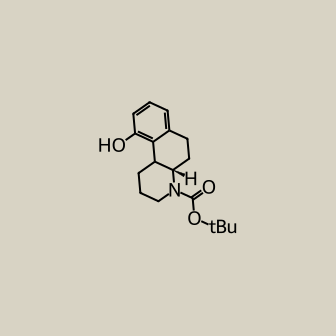 CC(C)(C)OC(=O)N1CCCC2c3c(O)cccc3CC[C@@H]21